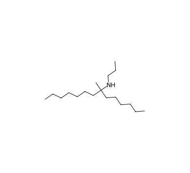 CCCCCCCC(C)(CCCCCC)NCCC